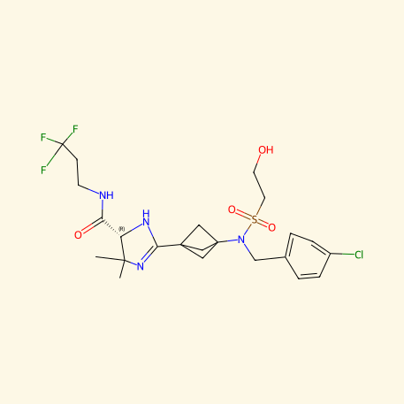 CC1(C)N=C(C23CC(N(Cc4ccc(Cl)cc4)S(=O)(=O)CCO)(C2)C3)N[C@H]1C(=O)NCCC(F)(F)F